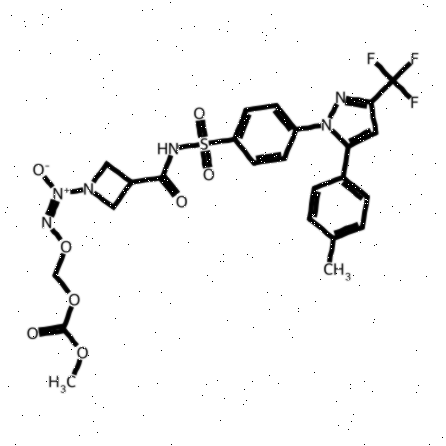 COC(=O)OCO/N=[N+](/[O-])N1CC(C(=O)NS(=O)(=O)c2ccc(-n3nc(C(F)(F)F)cc3-c3ccc(C)cc3)cc2)C1